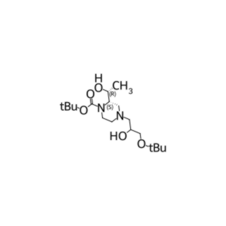 C[C@@H](O)[C@@H]1CN(CC(O)COC(C)(C)C)CCN1C(=O)OC(C)(C)C